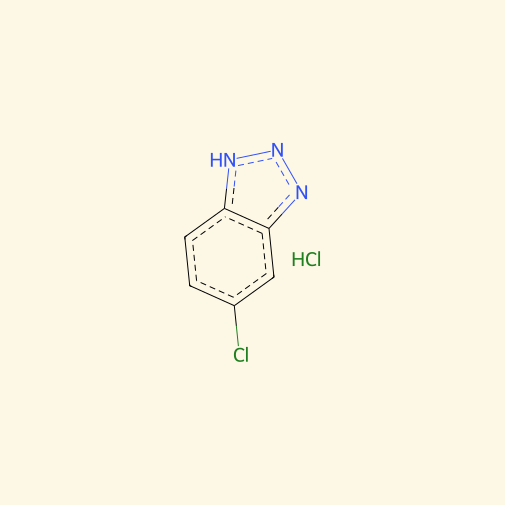 Cl.Clc1ccc2[nH]nnc2c1